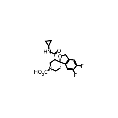 O=C(NC1CC1)[C@H]1CN(C(=O)O)CC[C@@]12OCc1cc(F)c(F)cc12